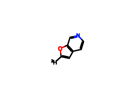 [2H]c1cc2ccncc2o1